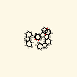 c1ccc(-c2nc(-c3cccc4sc5ccccc5c34)nc(-c3cccc4oc5ccc6c7ccccc7n(-c7ccccc7)c6c5c34)n2)cc1